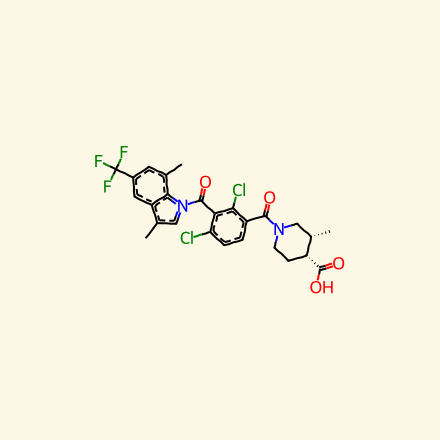 Cc1cn(C(=O)c2c(Cl)ccc(C(=O)N3CC[C@@H](C(=O)O)[C@@H](C)C3)c2Cl)c2c(C)cc(C(F)(F)F)cc12